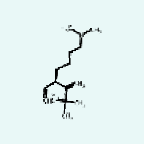 C=CC(CCCCN(C)C)C(=C)C(C)(C)C